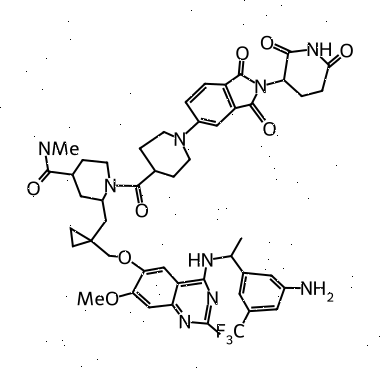 CNC(=O)C1CCN(C(=O)C2CCN(c3ccc4c(c3)C(=O)N(C3CCC(=O)NC3=O)C4=O)CC2)C(CC2(COc3cc4c(NC(C)c5cc(N)cc(C(F)(F)F)c5)nc(C)nc4cc3OC)CC2)C1